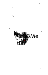 COc1cc2ncnc(Nc3ccc(OCc4cnccn4)c(Cl)c3)c2cc1OC1CCN(C(=O)OC(C)(C)C)C(C)C1